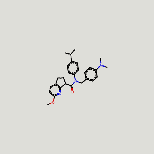 COc1ccc2c(n1)C(C(=O)N(Cc1ccc(N(C)C)cc1)c1ccc(C(C)C)cc1)CC2